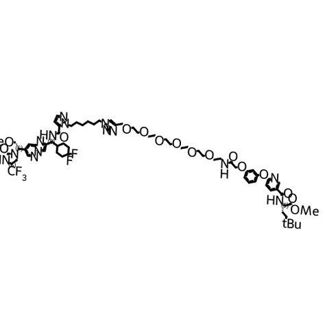 COC[C@H](c1cnn2cc([C@@H](NC(=O)c3ccnn3CCCCCCn3cc(COCCOCCOCCOCCOCCOCCNC(=O)COc4cccc(Oc5ccc(C(=O)N[C@@H](CCC(C)(C)C)C(=O)OC)cn5)c4)nn3)C3CCC(F)(F)CC3)nc2c1)N1C[C@@H](C(F)(F)F)NC1=O